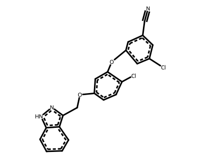 N#Cc1cc(Cl)cc(Oc2cc(OCc3n[nH]c4ccccc34)ccc2Cl)c1